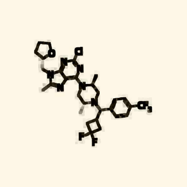 Cc1nc2c(N3C[C@@H](C)N(C(c4ccc(C(F)(F)F)cc4)C4CC(F)(F)C4)C[C@@H]3C)nc(Cl)nc2n1C[C@@H]1CCCO1